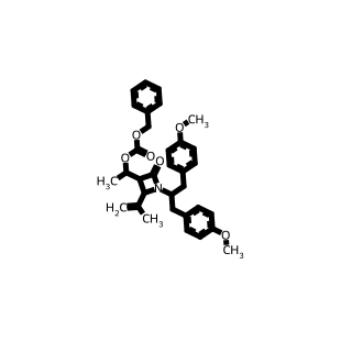 C=C(C)C1C(C(C)OC(=O)OCc2ccccc2)C(=O)N1C(Cc1ccc(OC)cc1)Cc1ccc(OC)cc1